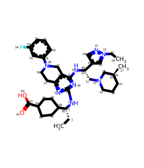 CC[C@@H](Nc1nc2c(c(N[C@@H](CN3CCC[C@H](C)C3)c3cnn(CC)c3)n1)CN(c1cccc(F)c1)CC2)C1CCC(C(=O)O)CC1